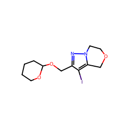 Ic1c(COC2CCCCO2)nn2c1COCC2